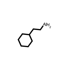 [AlH2][CH2]CC1CCCCC1